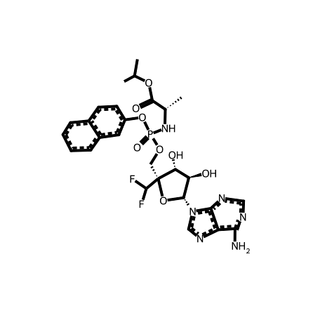 CC(C)OC(=O)[C@H](C)NP(=O)(OC[C@@]1(C(F)F)O[C@@H](n2cnc3c(N)ncnc32)[C@H](O)[C@H]1O)Oc1ccc2ccccc2c1